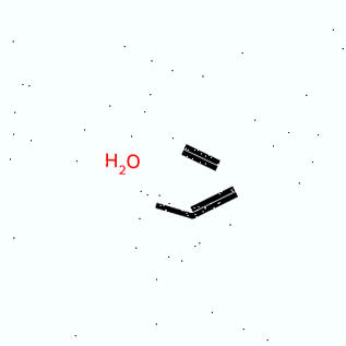 C=C.C=CC.O